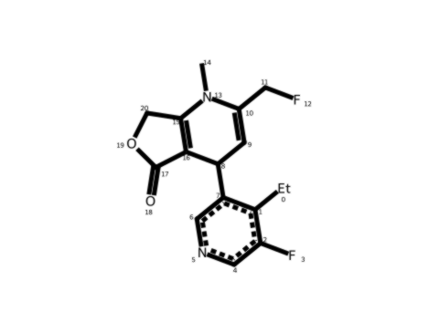 CCc1c(F)cncc1C1C=C(CF)N(C)C2=C1C(=O)OC2